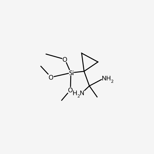 CO[Si](OC)(OC)C1(C(C)(N)N)CC1